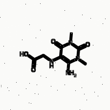 Cn1c(N)c(NCC(=O)O)c(=O)n(C)c1=O